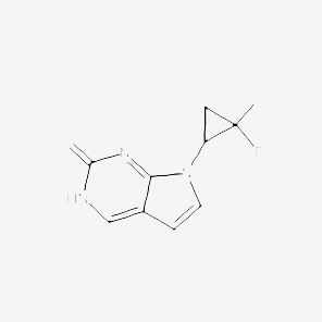 O=c1nc2c(ccn2C2CC2(F)F)c[nH]1